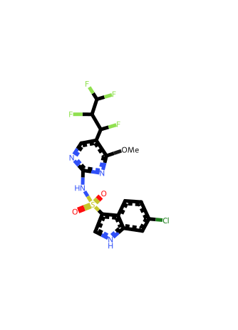 COc1nc(NS(=O)(=O)c2c[nH]c3cc(Cl)ccc23)ncc1C(F)C(F)C(F)F